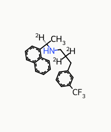 [2H]C([2H])(CN[C@]([2H])(C)c1cccc2ccccc12)Cc1cccc(C(F)(F)F)c1